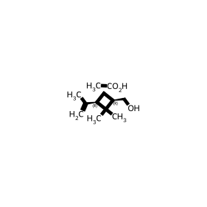 C=C(C)[C@H]1C[C@@H](CO)C1(C)C.CC(=O)O